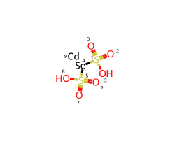 O=S(=O)(O)[Se]S(=O)(=O)O.[Cd]